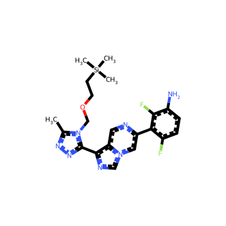 Cc1nnc(-c2ncn3cc(-c4c(F)ccc(N)c4F)ncc23)n1COCC[Si](C)(C)C